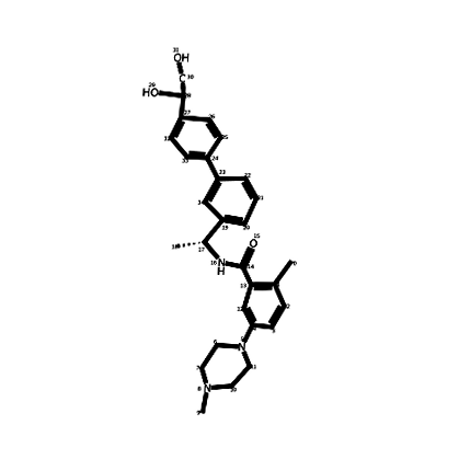 Cc1ccc(N2CCN(C)CC2)cc1C(=O)N[C@H](C)c1cccc(-c2ccc(C(O)CO)cc2)c1